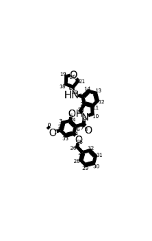 COc1cc(O)c(C(=O)N2Cc3cccc(N[C@@H]4CCOC4)c3C2)c(OCc2ccccc2)c1